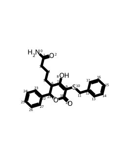 NC(=O)CCCC1C(O)=C(SCc2ccccc2)C(=O)OC1c1ccccc1